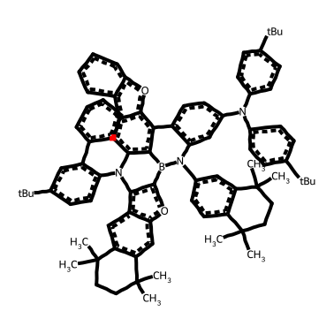 CC(C)(C)c1ccc(N(c2ccc(C(C)(C)C)cc2)c2ccc3c(c2)N(c2ccc4c(c2)C(C)(C)CCC4(C)C)B2c4oc5cc6c(cc5c4N(c4ccc(C(C)(C)C)cc4-c4ccccc4)c4cc5c(oc7ccccc75)c-3c42)C(C)(C)CCC6(C)C)cc1